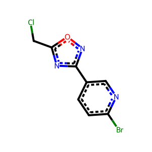 ClCc1nc(-c2ccc(Br)nc2)no1